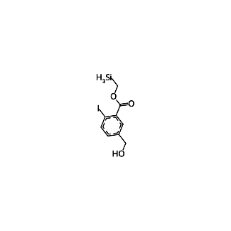 O=C(OC[SiH3])c1cc(CO)ccc1I